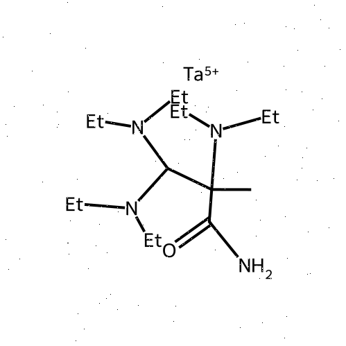 CCN(CC)C(N(CC)CC)C(C)(C(N)=O)N(CC)CC.[Ta+5]